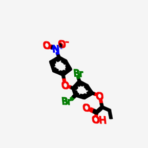 CCC(Oc1cc(Br)c(Oc2ccc([N+](=O)[O-])cc2)c(Br)c1)C(=O)O